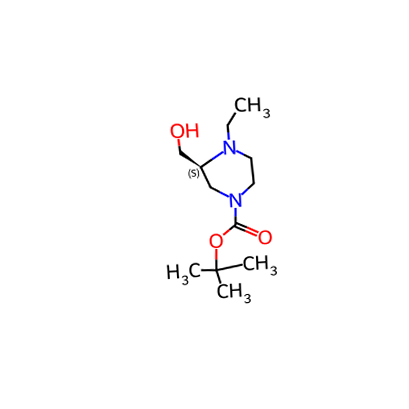 CCN1CCN(C(=O)OC(C)(C)C)C[C@H]1CO